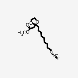 COC(=O)CC1(CCCCCCCCCN=[N+]=[N-])OCCO1